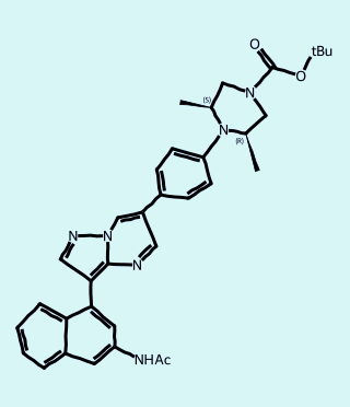 CC(=O)Nc1cc(-c2cnn3cc(-c4ccc(N5[C@H](C)CN(C(=O)OC(C)(C)C)C[C@@H]5C)cc4)cnc23)c2ccccc2c1